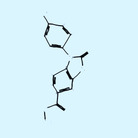 COC(=O)c1ccc2c(c1)[nH]c(=O)n2-c1ccc(F)cc1